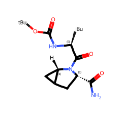 CCC(C)[C@H](NC(=O)OC(C)(C)C)C(=O)N1[C@H](C(N)=O)CC2C[C@@H]21